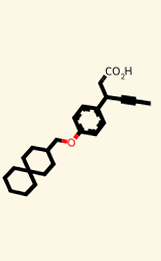 CC#CC(CC(=O)O)c1ccc(OCC2CCC3(CCCCC3)CC2)cc1